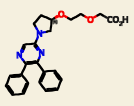 O=C(O)COCCO[C@@H]1CCN(c2cnc(-c3ccccc3)c(-c3ccccc3)n2)C1